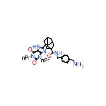 CCCn1c(=O)c2[nH]c(C34CC5CC(CC(C(=O)NCc6ccc(CN)cc6)(C5)C3)C4)nc2n(CCC)c1=O